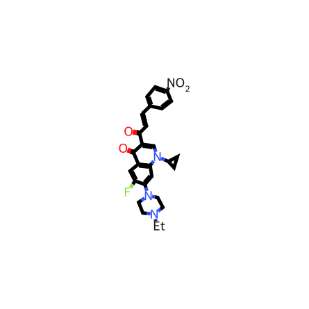 CCN1CCN(c2cc3c(cc2F)c(=O)c(C(=O)C=Cc2ccc([N+](=O)[O-])cc2)cn3C2CC2)CC1